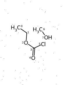 CCOC(=O)Cl.CO